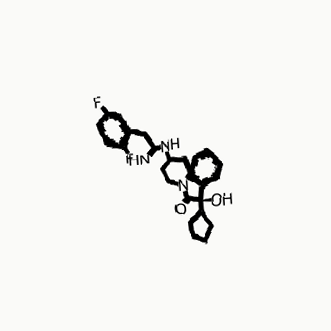 N=C(Cc1cc(F)ccc1F)NC1CCN(C(=O)[C@](O)(c2ccccc2)C2CCCC2)CC1